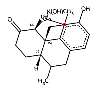 CC1Cc2ccc(O)c3c2[C@]2(CCN(C)O)[C@H]1CCC(=O)[C@]2(C)O3